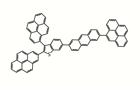 c1cc2ccc3cc(-c4sc5cc(-c6ccc7cc8cc(-c9cc%10cccc%11ccc%12cccc9c%12c%11%10)ccc8cc7c6)ccc5c4-c4ccc5ccc6cccc7ccc4c5c67)cc4ccc(c1)c2c34